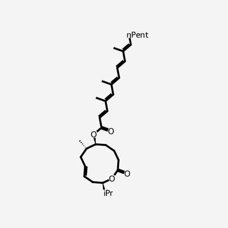 CCCCC/C=C(C)/C=C/C=C(C)/C=C(C)/C=C/C(=O)O[C@H]1CCCC(=O)O[C@@H](C(C)C)C/C=C/C[C@@H]1C